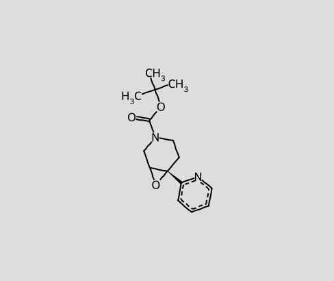 CC(C)(C)OC(=O)N1CC[C@]2(c3ccccn3)OC2C1